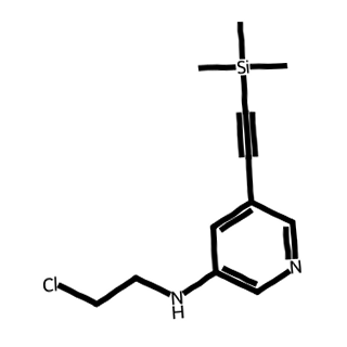 C[Si](C)(C)C#Cc1cncc(NCCCl)c1